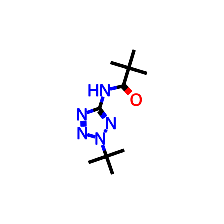 CC(C)(C)C(=O)Nc1nnn(C(C)(C)C)n1